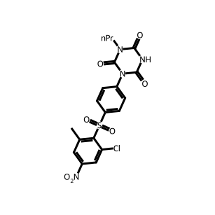 CCCn1c(=O)[nH]c(=O)n(-c2ccc(S(=O)(=O)c3c(C)cc([N+](=O)[O-])cc3Cl)cc2)c1=O